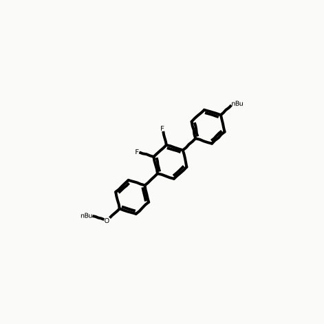 CCCCOc1ccc(-c2ccc(-c3ccc(CCCC)cc3)c(F)c2F)cc1